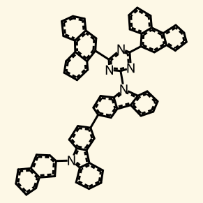 c1ccc2cc(-n3c4ccccc4c4cc(-c5ccc6c(c5)c5ccccc5n6-c5nc(-c6cc7ccccc7c7ccccc67)nc(-c6cc7ccccc7c7ccccc67)n5)ccc43)ccc2c1